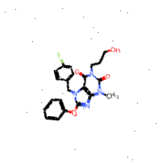 Cn1c(=O)n(CCCO)c(=O)c2c1nc(Oc1ccccc1)n2Cc1ccc(F)cc1